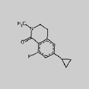 CN1CCc2cc(C3CC3)cc(F)c2C1=O